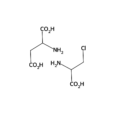 NC(CC(=O)O)C(=O)O.NC(CCl)C(=O)O